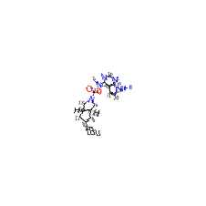 CN(OC(=O)N1C[C@H]2C[C@@H](C(C)(C)C)C[C@H]2C1)c1ncnc2[nH]ccc12